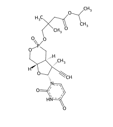 C#C[C@]1(C)[C@@H]2CP(=O)(OCC(C)(C)CC(=O)OC(C)C)OC[C@H]2O[C@H]1n1ccc(=O)[nH]c1=O